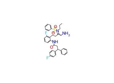 CCCN([C@@H](CN)CCc1c(F)cccc1NC(=O)CC(c1ccccc1)c1ccc(F)cc1)S(=O)(=O)c1ccccc1